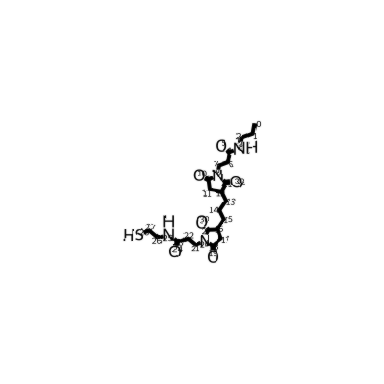 CCCNC(=O)CCN1C(=O)CC(CCCC2CC(=O)N(CCC(=O)NCCS)C2=O)C1=O